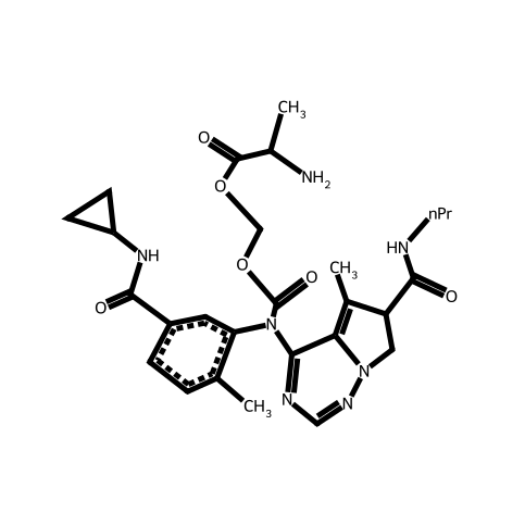 CCCNC(=O)C1CN2N=CN=C(N(C(=O)OCOC(=O)C(C)N)c3cc(C(=O)NC4CC4)ccc3C)C2=C1C